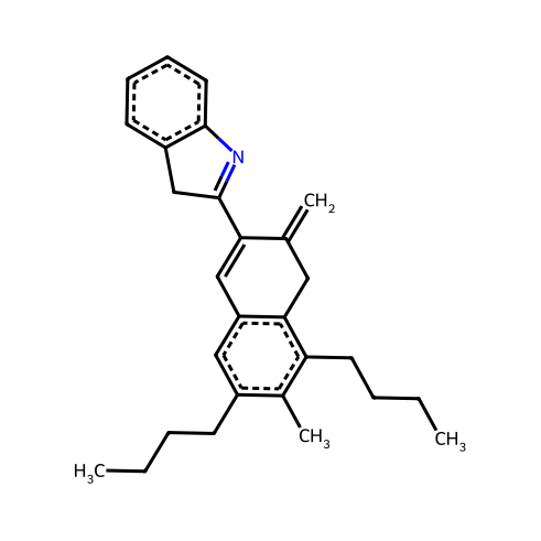 C=C1Cc2c(cc(CCCC)c(C)c2CCCC)C=C1C1=Nc2ccccc2C1